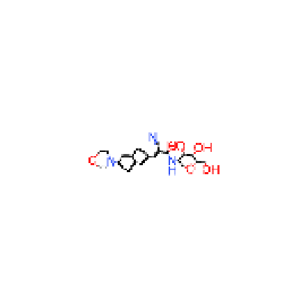 N#C/C(=C\c1ccc2cc(N3CCOCC3)ccc2c1)C(=O)N[C@H]1CO[C@H](CO)[C@@H](O)[C@@H]1O